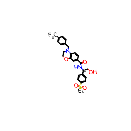 CCS(=O)(=O)c1ccc([C@H](CO)NC(=O)c2ccc3c(c2)OCCN3Cc2ccc(C(F)(F)F)cc2)cc1